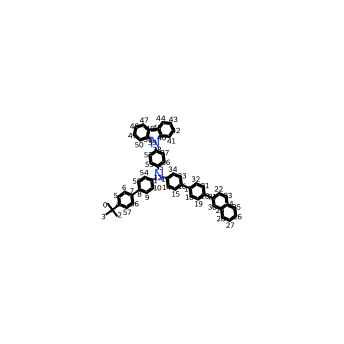 CC(C)(C)c1ccc(-c2ccc(N(c3ccc(-c4ccc(-c5ccc6ccccc6c5)cc4)cc3)c3ccc(-n4c5ccccc5c5ccccc54)cc3)cc2)cc1